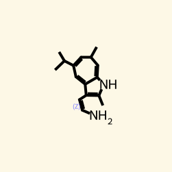 Cc1[nH]c2c(c1/C=C\N)=CC(C(C)C)=CC(C)C=2